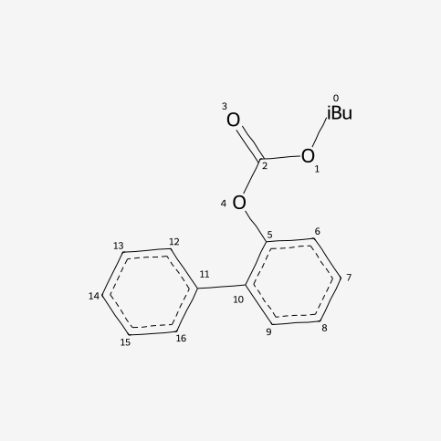 CCC(C)OC(=O)Oc1ccccc1-c1ccccc1